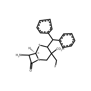 NC1C(=O)N2CC(CF)(C(=O)O)C(C(c3ccccc3)c3ccccc3)S[C@H]12